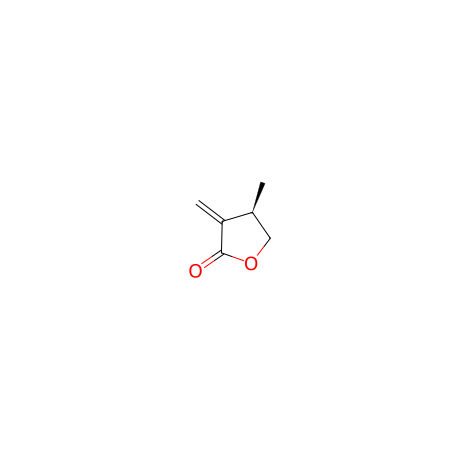 C=C1C(=O)OC[C@@H]1C